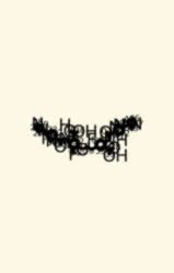 O=C(Nc1cc(F)c(CCOc2cc(C(=O)O)c(NC(=O)c3ccc(-n4ccnc4)nn3)cc2F)cc1C(=O)O)c1ccc(-n2ccnc2)nn1